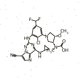 CO[C@@H]1CN(c2cc(C(F)F)cc(Nc3nc(NC4CC4)c4ncc(C#N)n4n3)c2Cl)C[C@@H]1N(C)C(=O)O